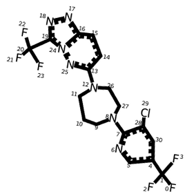 FC(F)(F)c1cnc(N2CCCN(c3ccc4nnc(C(F)(F)F)n4n3)CC2)c(Cl)c1